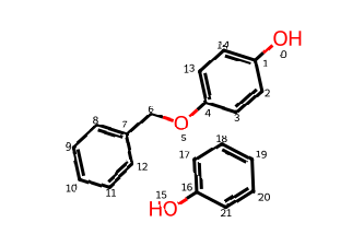 Oc1ccc(OCc2ccccc2)cc1.Oc1ccccc1